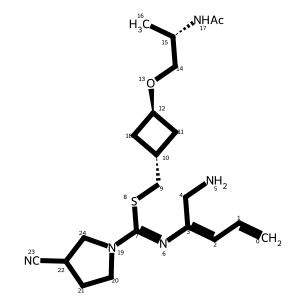 C=C/C=C(CN)/N=C(\SC[C@H]1C[C@H](OC[C@H](C)NC(C)=O)C1)N1CCC(C#N)C1